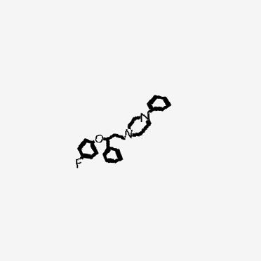 Fc1ccc(OC(CCN2CCN(c3ccccc3)CC2)c2ccccc2)cc1